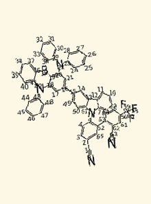 N#Cc1ccc(-n2c3ccccc3c3cc(-c4cc5c6c(c4)N(c4ccccc4)c4ccccc4B6c4ccccc4N5c4ccccc4)ccc32)c(-c2ccc(C(F)(F)F)cc2C#N)c1